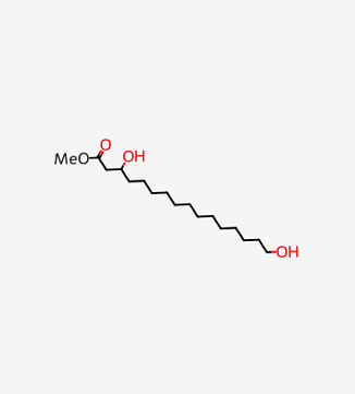 COC(=O)CC(O)CCCCCCCCCCCCCO